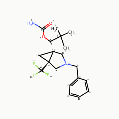 CC(C)(C)C(OC(N)=O)[C@]12CN(Cc3ccccc3)C[C@]1(C(F)(F)F)C2